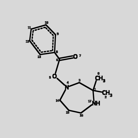 CC1(C)CN(OC(=O)c2ccccc2)CCCN1